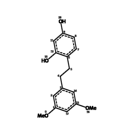 COc1cc(CCc2ccc(O)cc2O)cc(OC)c1